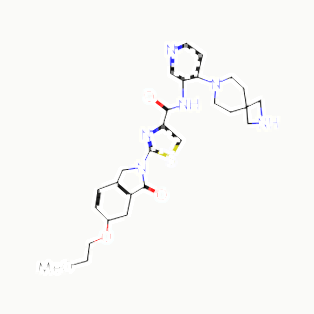 COCCOC1C=CC2=C(C1)C(=O)N(c1nc(C(=O)Nc3cnccc3N3CCC4(CC3)CNC4)cs1)C2